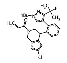 C=CC(=O)N1Cc2sc(Cl)cc2C(c2ccccc2-c2cn(CCCC)nc2C(C)(C)F)C1